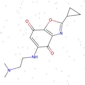 CN(C)CCNC1=CC(=O)c2oc(C3CC3)nc2C1=O